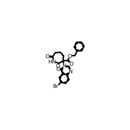 O=C1CCCC(C(=O)OCc2ccccc2)(n2cnc3ccc(Br)cc3c2=O)C(=O)N1